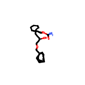 NC(=O)OCC1(C[C@@H](O)COCc2ccccc2)CCCCC1